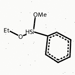 CCO[SiH](OC)c1ccccc1